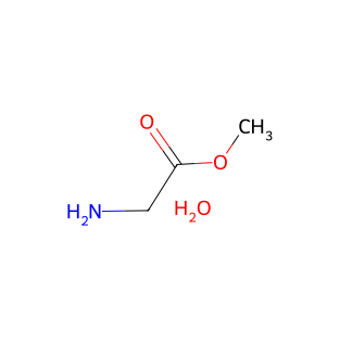 COC(=O)CN.O